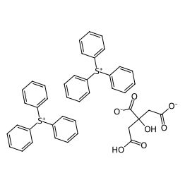 O=C([O-])CC(O)(CC(=O)O)C(=O)[O-].c1ccc([S+](c2ccccc2)c2ccccc2)cc1.c1ccc([S+](c2ccccc2)c2ccccc2)cc1